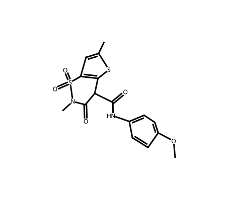 COc1ccc(NC(=O)C2C(=O)N(C)S(=O)(=O)c3cc(C)sc32)cc1